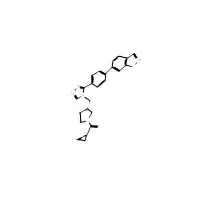 O=C(C1CC1)N1CC[C@@H](Cn2cnnc2-c2ccc(-c3ccc4cn[nH]c4c3)cc2)C1